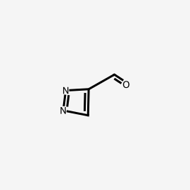 O=CC1=CN=N1